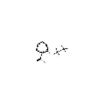 O=C(F)c1ccccc1OC(F)(F)C(F)(F)F